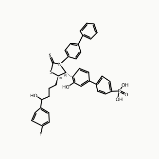 O=P(O)(O)c1ccc(-c2ccc([C@@H]3[C@@H](CCCC(O)c4ccc(F)cc4)SC(=S)N3c3ccc(-c4ccccc4)cc3)c(O)c2)cc1